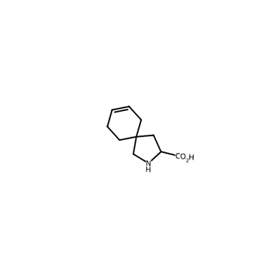 O=C(O)C1CC2(CC=CCC2)CN1